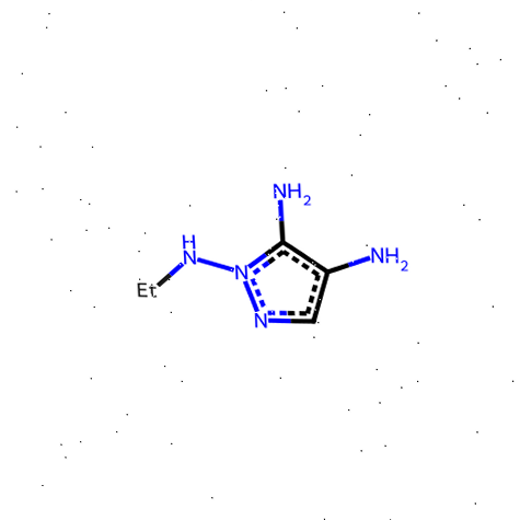 CCNn1ncc(N)c1N